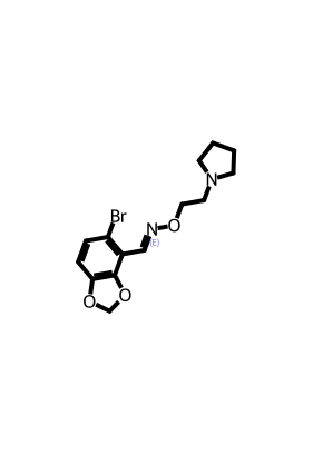 Brc1ccc2c(c1/C=N/OCCN1CCCC1)OCO2